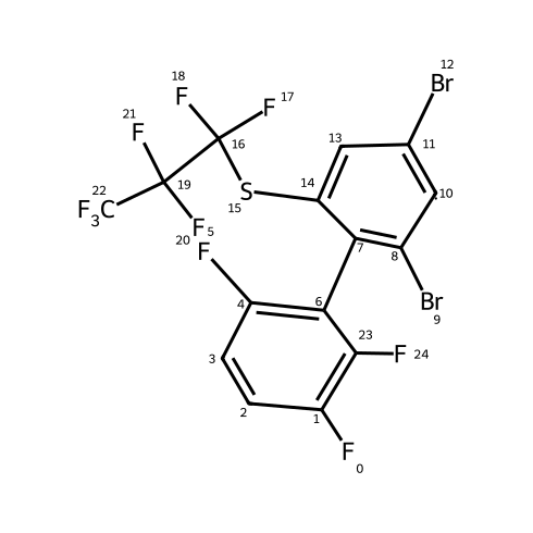 Fc1ccc(F)c(-c2c(Br)[c]c(Br)cc2SC(F)(F)C(F)(F)C(F)(F)F)c1F